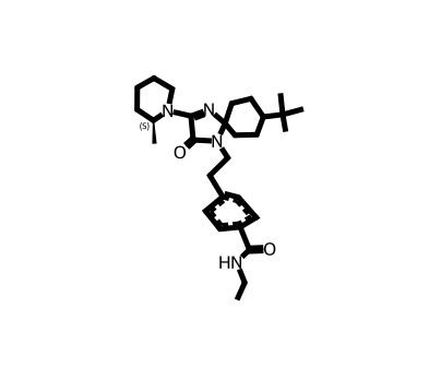 CCNC(=O)c1ccc(CCN2C(=O)C(N3CCCC[C@@H]3C)=NC23CCC(C(C)(C)C)CC3)cc1